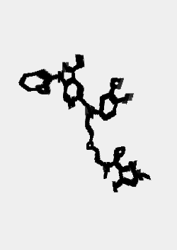 C=Cc1nn(C2CCCCO2)c2cnc(N(CCOCCN(C)C(=O)c3nn(C)cc3I)c3ccc(F)c(Cl)c3)cc12